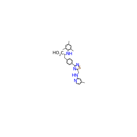 Cc1ccnc(NCc2nc(-c3ccc(CC(Nc4c(C)cc(C)cc4C)C(=O)O)cc3)ns2)c1